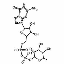 CC1OC(OP(=O)(O)OP(=O)(O)OCC2OC(n3cnc4c(=O)[nH]c(N)nc43)C(O)C2O)C(=O)C(O)C1O